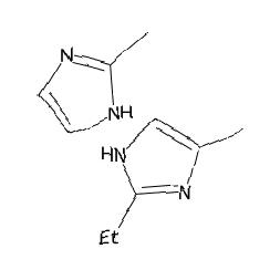 CCc1nc(C)c[nH]1.Cc1ncc[nH]1